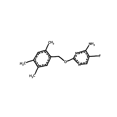 Cc1cc(C)c(COc2ncc(F)c(N)n2)cc1C